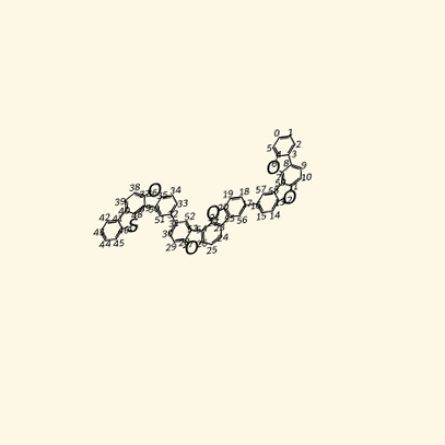 c1ccc2c(c1)oc1c2ccc2oc3ccc(-c4ccc5oc6c(ccc7oc8ccc(-c9ccc%10oc%11ccc%12c%13ccccc%13sc%12c%11c%10c9)cc8c76)c5c4)cc3c21